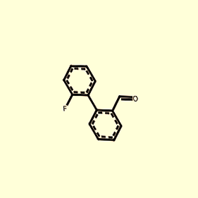 O=Cc1ccccc1-c1ccccc1F